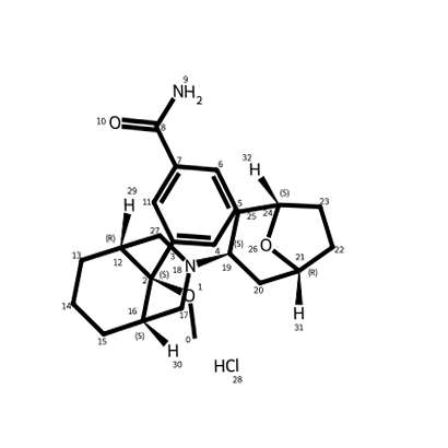 CO[C@]1(c2cccc(C(N)=O)c2)[C@@H]2CCC[C@H]1CN([C@@H]1C[C@H]3CC[C@@H](C1)O3)C2.Cl